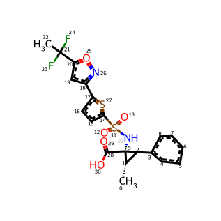 C[C@H]1C(c2ccccc2)[C@]1(NS(=O)(=O)c1ccc(-c2cc(C(C)(F)F)on2)s1)C(=O)O